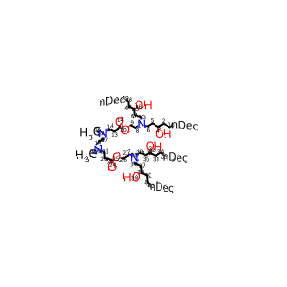 CCCCCCCCCCCCC(O)CCN(CCOC(=O)CCN(C)CCN(C)CCC(=O)OCCN(CCC(O)CCCCCCCCCCCC)CCC(O)CCCCCCCCCCCC)CCC(O)CCCCCCCCCCCC